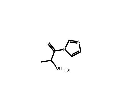 Br.C=C(C(C)O)n1ccnc1